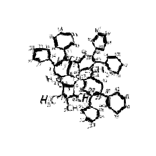 CC1=C(C)C(C)C([Si](c2cc(-c3ccccc3)c(-c3ccccc3)cc2C)(c2cc(-c3ccccc3)c(-c3ccccc3)cc2C)c2cc(-c3ccccc3)c(-c3ccccc3)cc2C)=C1C